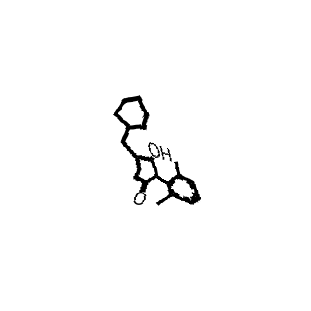 Cc1cccc(C)c1C1C(=O)CC(CC2CCCCC2)C1O